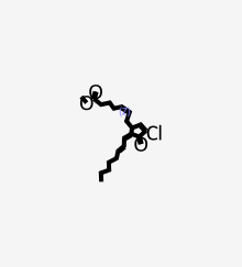 CCCCCC=CC=C1C(=O)C(Cl)=CC1C/C=C\CCCC(=O)OC